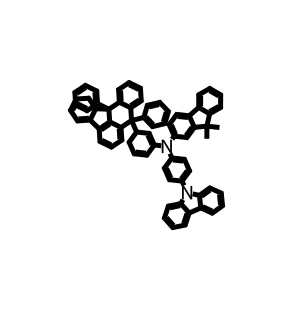 CC1(C)c2ccccc2-c2ccc(N(C3=CC(C4(c5ccccc5)c5ccccc5C5(c6ccccc6)c6c(cccc64)C4=CC=CCC45)CC=C3)c3ccc(-n4c5ccccc5c5ccccc54)cc3)cc21